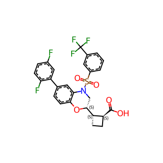 O=C(O)[C@H]1CC[C@@H]1[C@H]1CN(S(=O)(=O)c2cccc(C(F)(F)F)c2)c2cc(-c3cc(F)ccc3F)ccc2O1